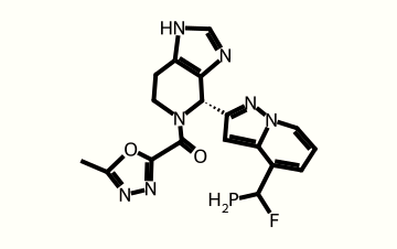 Cc1nnc(C(=O)N2CCc3[nH]cnc3[C@@H]2c2cc3c(C(F)P)cccn3n2)o1